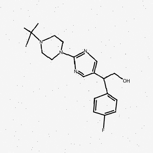 CC(C)(C)N1CCN(c2ncc(C(CO)c3ccc(F)cc3)cn2)CC1